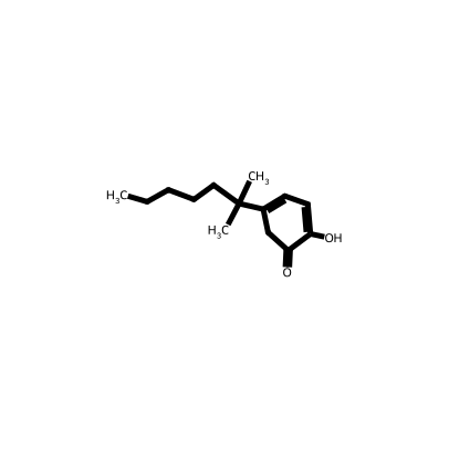 CCCCCC(C)(C)C1=CC=C(O)C(=O)C1